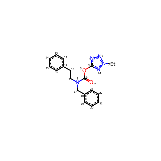 CCn1nnc(OC(=O)N(CCc2ccccc2)Cc2ccccc2)n1